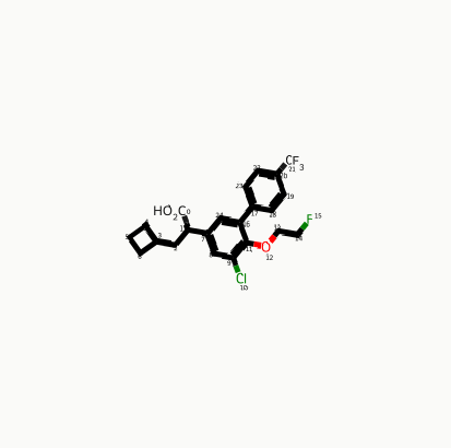 O=C(O)C(CC1CCC1)c1cc(Cl)c(OCCF)c(-c2ccc(C(F)(F)F)cc2)c1